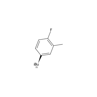 CC[C@H](C)c1ccc(F)c(C)c1